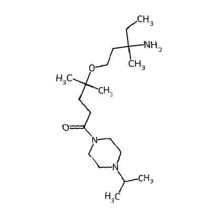 CCC(C)(N)CCOC(C)(C)CCC(=O)N1CCN(C(C)C)CC1